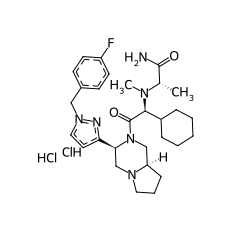 C[C@@H](C(N)=O)N(C)[C@H](C(=O)N1C[C@H]2CCCN2C[C@H]1c1ccn(Cc2ccc(F)cc2)n1)C1CCCCC1.Cl.Cl